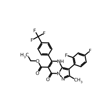 CCOC(=O)c1c(-c2ccc(C(F)(F)F)cc2)[nH]c2c(-c3ccc(F)cc3F)c(C)nn2c1=O